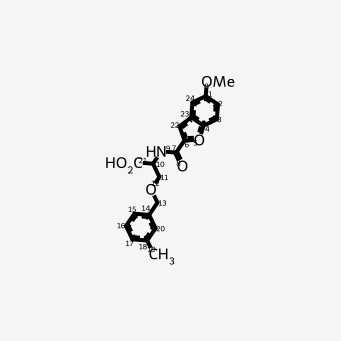 COc1ccc2oc(C(=O)NC(COCc3cccc(C)c3)C(=O)O)cc2c1